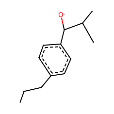 CCCc1ccc(C([O])C(C)C)cc1